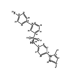 Cc1cc(C)n(-c2ccc(NS(=O)(=O)c3cccc(-c4ccc(F)cc4)c3)cc2)n1